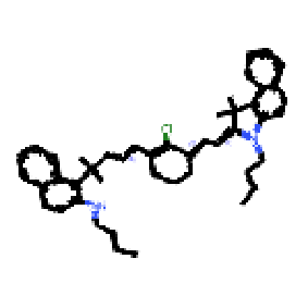 CCCCNc1ccc2ccccc2c1C(C)(C)C/C=C/C1=C(Cl)C(=C/C=C2/N(CCCC)c3ccc4ccccc4c3C2(C)C)/CCC1